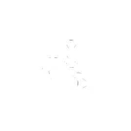 O=C=CC(C[C@@H]1CCNC1=C=O)NC(=C=O)C(Cc1ccccc1)NC(=O)c1cc2cc(F)cc(F)c2[nH]1